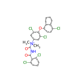 C[N+](C)(C(=O)NC(=O)c1c(Cl)cccc1Cl)c1cc(Cl)c(Oc2ccc(Cl)c3ccccc23)c(Cl)c1